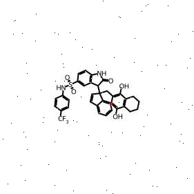 O=C1Nc2ccc(S(=O)(=O)Nc3ccc(C(F)(F)F)cc3)cc2C1C1(Cc2cc(O)c3c(c2O)CCCC3)C=Cc2ccccc21